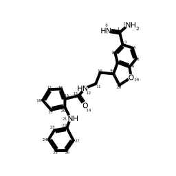 N=C(N)c1ccc2c(c1)C(CCNC(=O)c1ccccc1Nc1ccccc1)CO2